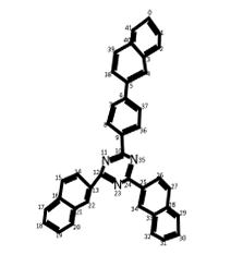 c1ccc2cc(-c3ccc(-c4nc(-c5ccc6ccccc6c5)nc(-c5ccc6ccccc6c5)n4)cc3)ccc2c1